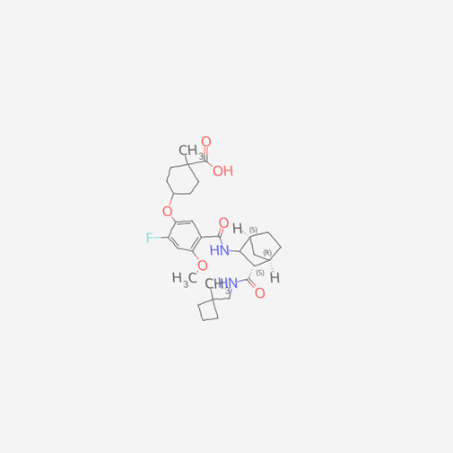 COc1cc(F)c(OC2CCC(C)(C(=O)O)CC2)cc1C(=O)NC1[C@H]2CC[C@H](C2)[C@@H]1C(=O)NCC1(C)CCC1